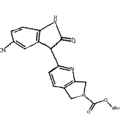 [C-]#[N+]c1ccc2c(c1)C(c1ccc3c(n1)CN(C(=O)OC(C)(C)C)C3)C(=O)N2